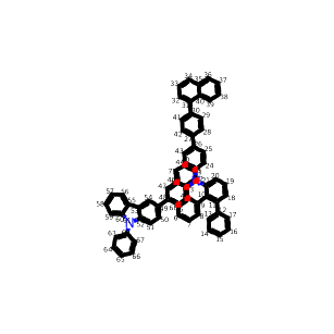 c1ccc(-c2ccccc2-c2c(-c3ccccc3)cccc2N(c2ccc(-c3ccc(-c4cccc5ccccc45)cc3)cc2)c2ccc(-c3ccc4c(c3)c3ccccc3n4-c3ccccc3)cc2)cc1